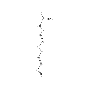 CC(=O)OCC=CCCC=CC=O